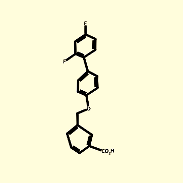 O=C(O)c1cccc(COc2ccc(-c3ccc(F)cc3F)cc2)c1